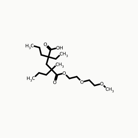 CCCC(C)(CC(CC)(CCC)C(=O)O)C(=O)OCCOCCOC